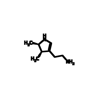 C[C@@H]1C(CCN)=CN[C@@H]1C